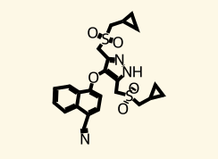 N#Cc1ccc(Oc2c(CS(=O)(=O)CC3CC3)n[nH]c2CS(=O)(=O)CC2CC2)c2ccccc12